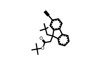 C#Cc1ccc2c(c1)C(CC(=O)OC(C)(C)C)(CC(C)(C)C)c1ccccc1-2